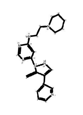 C=C1C(c2cccnc2)=CNN1c1cc(NCCN2CCCCC2)ncn1